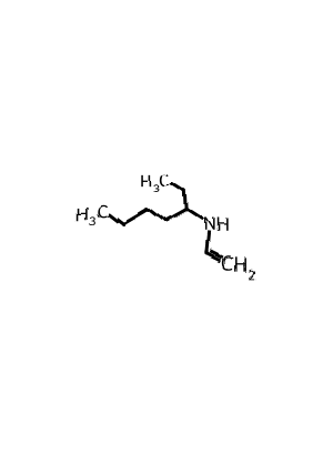 C=CNC(CC)CCCC